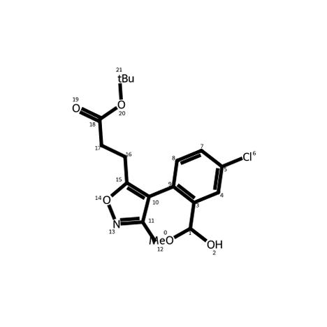 COC(O)c1cc(Cl)ccc1-c1c(C)noc1CCC(=O)OC(C)(C)C